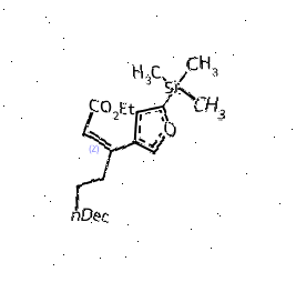 CCCCCCCCCCCC/C(=C/C(=O)OCC)c1coc([Si](C)(C)C)c1